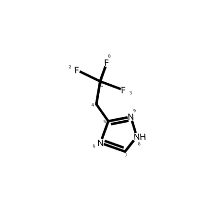 FC(F)(F)Cc1nc[nH]n1